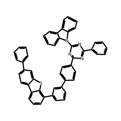 c1ccc(-c2ccc3c(c2)sc2c(-c4cccc(-c5ccc(-c6nc(-c7ccccc7)nc(-n7c8ccccc8c8ccccc87)n6)cc5)c4)cccc23)cc1